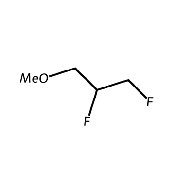 [CH2]OCC(F)CF